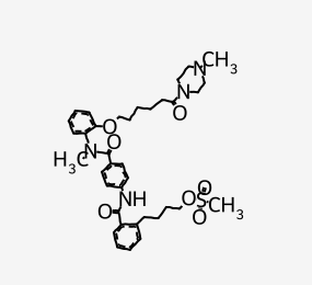 CN1CCN(C(=O)CCCCCOc2ccccc2N(C)C(=O)c2ccc(NC(=O)c3ccccc3CCCCOS(C)(=O)=O)cc2)CC1